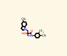 CC(O)(Cn1ccc2cc(C#N)ccc21)C(=O)Nc1ccc(C#N)c(C(F)(F)F)c1